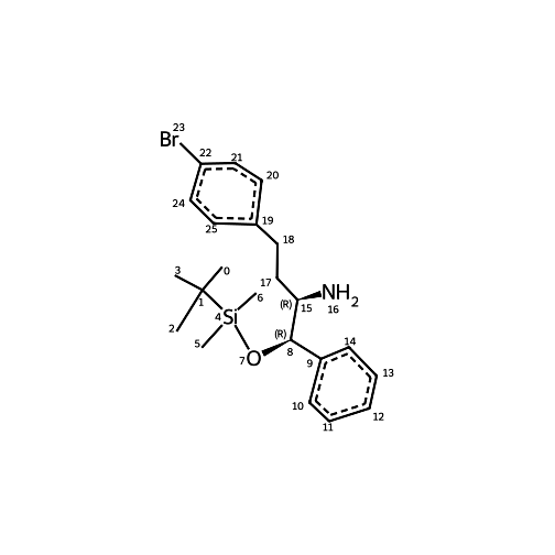 CC(C)(C)[Si](C)(C)O[C@H](c1ccccc1)[C@H](N)CCc1ccc(Br)cc1